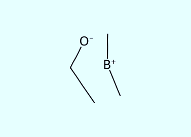 CC[O-].C[B+]C